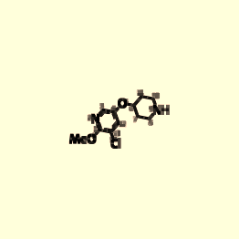 COc1ncc(OC2CCNCC2)cc1Cl